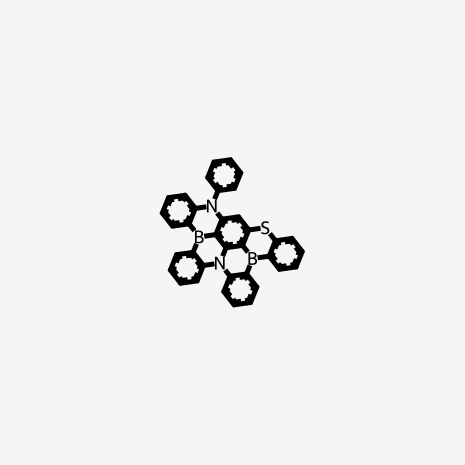 c1ccc(N2c3ccccc3B3c4ccccc4N4c5ccccc5B5c6ccccc6Sc6cc2c3c4c65)cc1